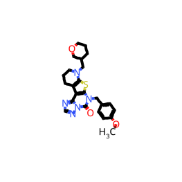 COc1ccc(Cn2c(=O)n3ncnc3c3c4c(sc32)N(CC2CCCOC2)CCC4)cc1